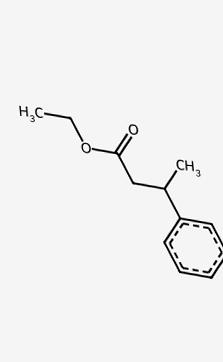 CCOC(=O)CC(C)c1c[c]ccc1